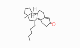 CCCCC[C@H]1C[C@]2(C)CCC[C@H]2[C@@H]2CCC3=CC(=O)CCC3=C12